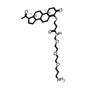 CC(=O)C1CCC2C3CCC4=C(SCCC(=O)NCOCCOCCOCCCN)C(=O)CC[C@]4(C)C3CC[C@]12C